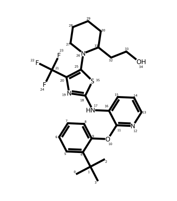 CC(C)(C)c1ccccc1Oc1ncccc1Nc1nc(C(F)(F)F)c(N2CCCCC2CCO)s1